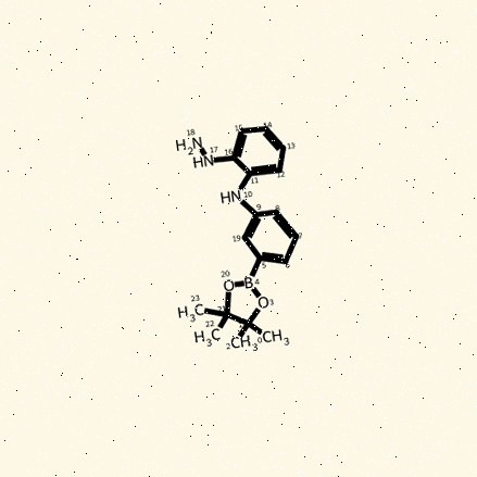 CC1(C)OB(c2cccc(Nc3ccccc3NN)c2)OC1(C)C